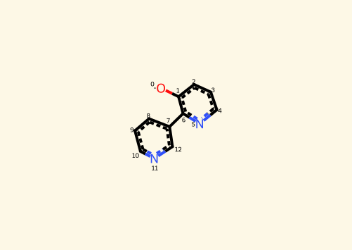 [O]c1cccnc1-c1cccnc1